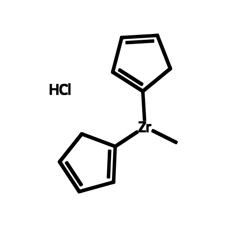 Cl.[CH3][Zr]([C]1=CC=CC1)[C]1=CC=CC1